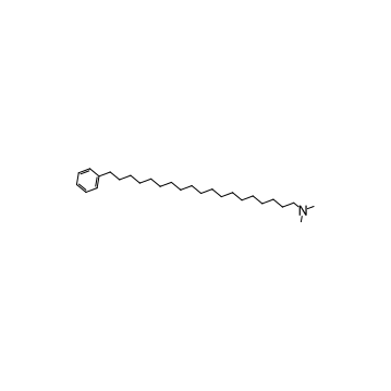 CN(C)CCCCCCCCCCCCCCCCCCCc1ccccc1